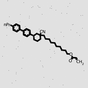 C=CC(=O)OCCCCCCCCCCC1(C#N)CCCC(c2ccc(-c3ccc(CCC)cc3)cc2)C1